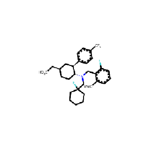 COc1cccc(F)c1CN(CC1(F)CCCCC1)[C@@H]1CC[C@@H](CC(=O)O)C[C@H]1c1ccc(C(F)(F)F)cc1